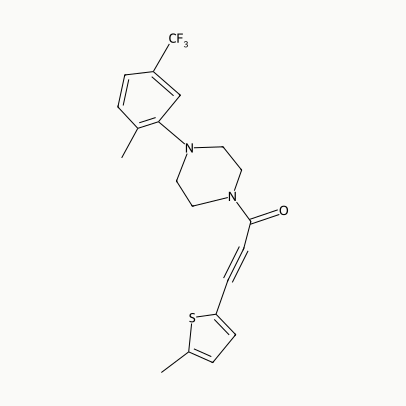 Cc1ccc(C#CC(=O)N2CCN(c3cc(C(F)(F)F)ccc3C)CC2)s1